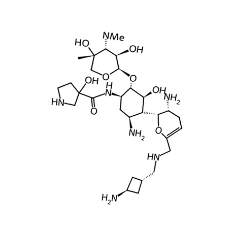 CN[C@@H]1[C@@H](O)[C@@H](O[C@H]2[C@H](NC(=O)C3(O)CCNC3)C[C@H](N)C([C@H]3OC(CNC[C@H]4C[C@H](N)C4)=CC[C@H]3N)[C@@H]2O)OC[C@]1(C)O